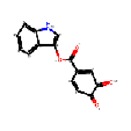 O=C1C=CC(C(=O)Oc2c[nH]c3ccccc23)=CC1=O